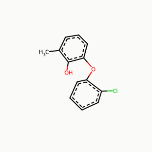 Cc1cccc(Oc2ccccc2Cl)c1O